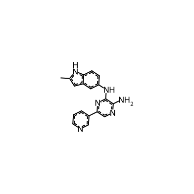 Cc1cc2cc(Nc3nc(-c4cccnc4)cnc3N)ccc2[nH]1